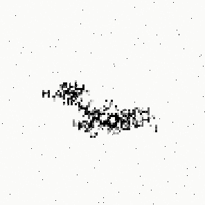 Cc1nn(CC(F)=CCNC(=O)OC(C)(C)C)c(C(=O)O)c1Cc1ccc(S(=O)(=O)N(C)C)cc1